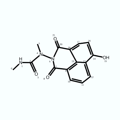 CNC(=O)N(C)N1C(=O)c2cccc3c(O)ccc(c23)C1=O